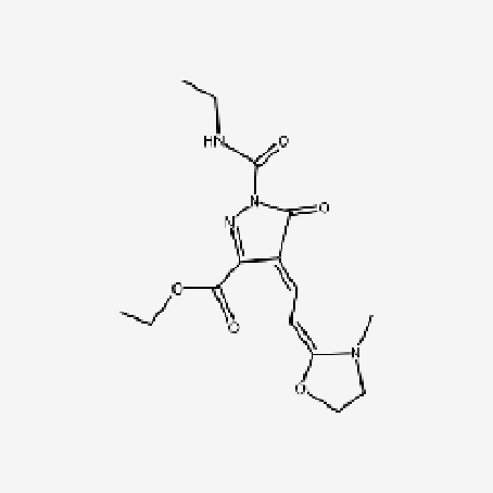 CCNC(=O)N1N=C(C(=O)OCC)/C(=C\C=C2\OCCN2C)C1=O